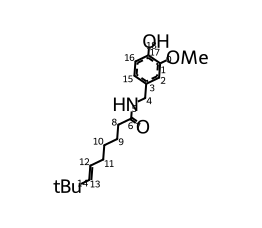 COc1cc(CNC(=O)CCCCC=CC(C)(C)C)ccc1O